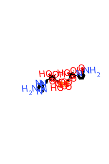 NC(=O)c1cccc([C@@H]2O[C@H](COP(=O)(O)OP(=O)(O)OC[C@H]3O[C@@H](CCn4cnc5c(N)ncnc54)C(O)[C@H]3O)C(O)[C@@H]2O)n1